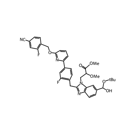 COC(=O)C(Cn1c(Cc2ccc(-c3cccc(OCc4ccc(C#N)cc4F)n3)cc2F)nc2ccc(C(O)OC(C)(C)C)cc21)OC